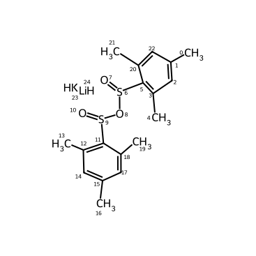 Cc1cc(C)c(S(=O)OS(=O)c2c(C)cc(C)cc2C)c(C)c1.[KH].[LiH]